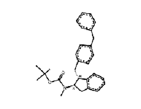 CN(C(=O)OC(C)(C)C)[C@@H]1Cc2ccccc2[C@H]1Cc1ccc(Cc2ccccc2)cc1